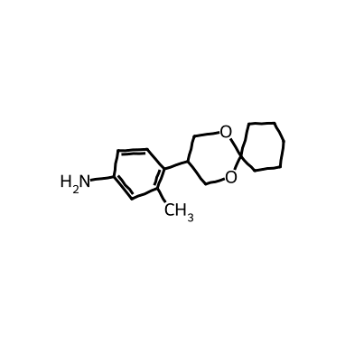 Cc1cc(N)ccc1C1COC2(CCCCC2)OC1